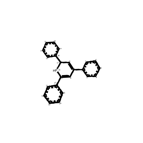 C1=C(c2ccccc2)C=C(c2ccccc2)PC1c1ccccc1